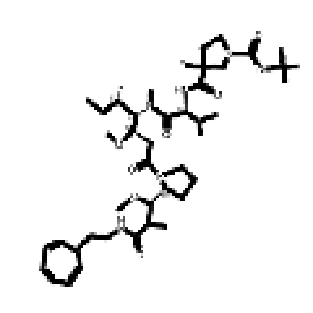 CC[C@H](C)[C@@H]([C@@H](CC(=O)N1CCC[C@H]1C(OC)C(C)C(=O)NCCC1C=CC=CC=C1)OC)N(C)C(=O)[C@@H](NC(=O)C1(F)CCN(C(=O)OC(C)(C)C)C1)C(C)C